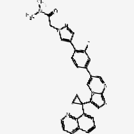 CN(C)C(=O)Cn1cc(-c2ccc(-c3cnc4ncc(C5(c6cccc7cccnc67)CC5)n4c3)cc2F)cn1